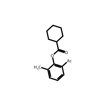 CC(=O)c1cccc(C)c1OC(=O)C1CCCCC1